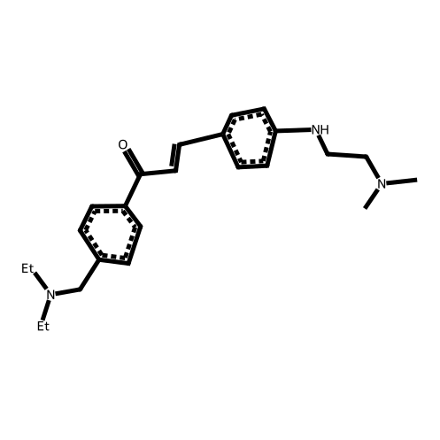 CCN(CC)Cc1ccc(C(=O)C=Cc2ccc(NCCN(C)C)cc2)cc1